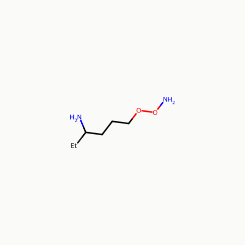 CCC(N)CCCOON